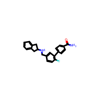 NC(=O)c1ccc(-c2cc(CNC3Cc4ccccc4C3)ccc2F)cc1